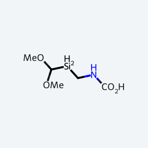 COC(OC)[SiH2]CNC(=O)O